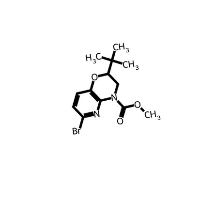 COC(=O)N1CC(C(C)(C)C)Oc2ccc(Br)nc21